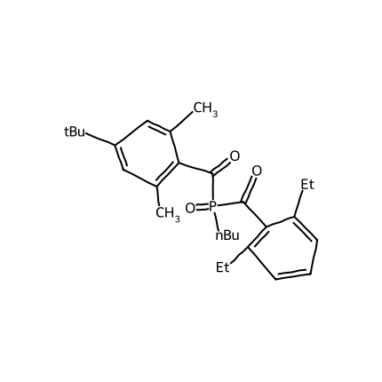 CCCCP(=O)(C(=O)c1c(C)cc(C(C)(C)C)cc1C)C(=O)c1c(CC)cccc1CC